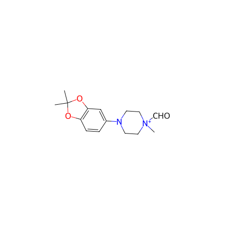 CC1(C)Oc2ccc(N3CC[N+](C)(C=O)CC3)cc2O1